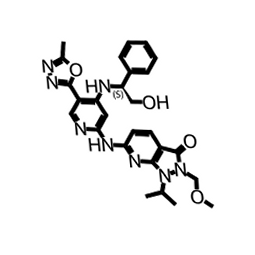 COCn1c(=O)c2ccc(Nc3cc(N[C@H](CO)c4ccccc4)c(-c4nnc(C)o4)cn3)nc2n1C(C)C